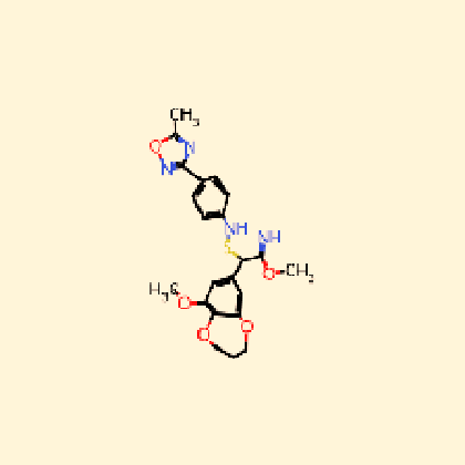 COC(=N)C(SNc1ccc(-c2noc(C)n2)cc1)c1cc(OC)c2c(c1)OCCCO2